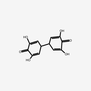 O=C1C(O)=CC(C2C=C(O)C(=O)C(O)=C2)C=C1O